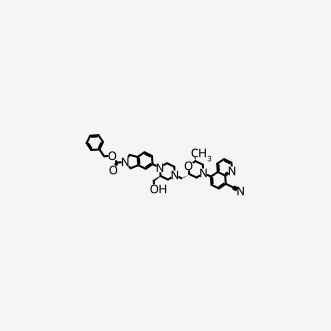 C[C@@H]1CN(c2ccc(C#N)c3ncccc23)C[C@H](CN2CCN(c3ccc4c(c3)CN(C(=O)OCc3ccccc3)C4)[C@H](CO)C2)O1